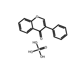 O=P(O)(O)O.O=c1c(-c2ccccc2)coc2ccccc12